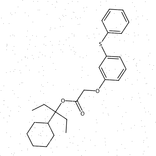 CCC(CC)(OC(=O)COc1cccc(Sc2ccccc2)c1)C1CCCCC1